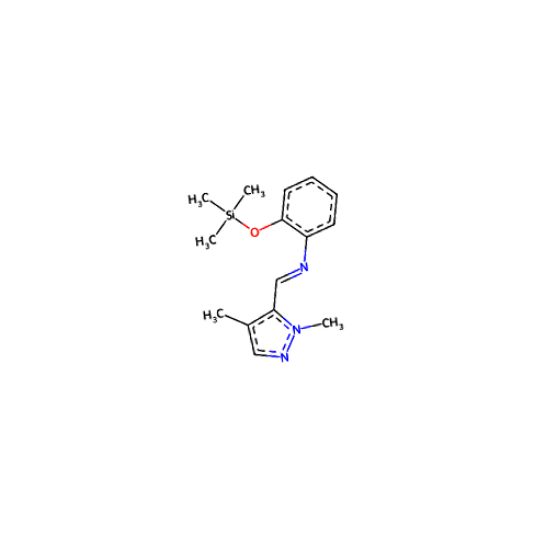 Cc1cnn(C)c1C=Nc1ccccc1O[Si](C)(C)C